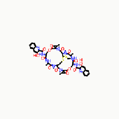 CCSC1SCCC2C(=O)N(C)C3(CC3C)C(=O)OCC(NC(=O)c3nc4ccccc4cc3O)C(=O)NC(C)C(=O)N(C)C1C(=O)N(C)C1(CC1C)C(=O)OCC(NC(=O)c1nc3ccccc3cc1O)C(=O)NC(C)C(=O)N2C